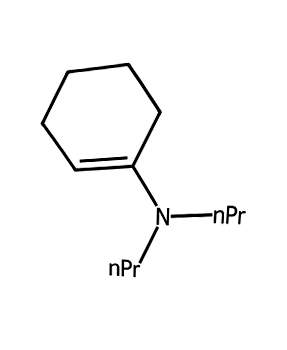 CCCN(CCC)C1=CCCCC1